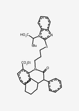 CCOC(=O)c1ccccc1N(CCCSc1nc2ccccc2n1C(C(=O)O)C(C)(C)C)C(=O)C(c1ccccc1)C1CCCCC1